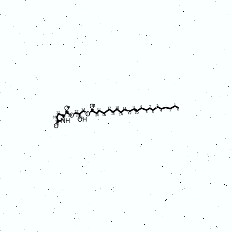 CCCCCCCCCCC=CCCCCCCCCCC(=O)OCC(O)COC(=O)[C@@H]1CCC(=O)N1